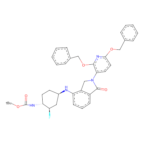 CC(C)(C)OC(=O)N[C@@H]1CC[C@@H](Nc2cccc3c2CN(c2ccc(OCc4ccccc4)nc2OCc2ccccc2)C3=O)C[C@H]1F